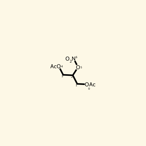 CC(=O)OCC(COC(C)=O)O[N+](=O)[O-]